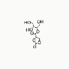 O=C1OCC(C(=O)OC(CO)C(O)CO)O1